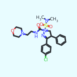 CN(C)S(=O)(=O)[N+]1(C(=O)NCCN2CCOCC2)CC(c2ccccc2)C(c2ccc(Cl)cc2)=N1